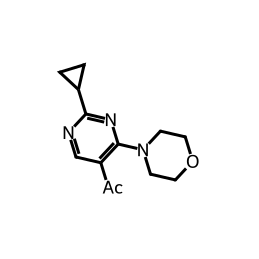 CC(=O)c1cnc(C2CC2)nc1N1CCOCC1